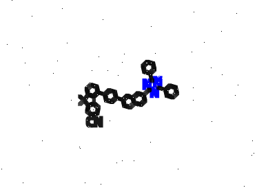 CC1(C)c2cc(C#N)ccc2-c2c(-c3ccc(-c4ccc5ccc(-c6nc(-c7ccccc7)nc(-c7ccccc7)n6)cc5c4)cc3)cccc21